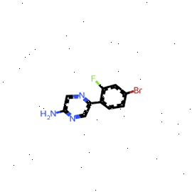 Nc1cnc(-c2ccc(Br)cc2F)cn1